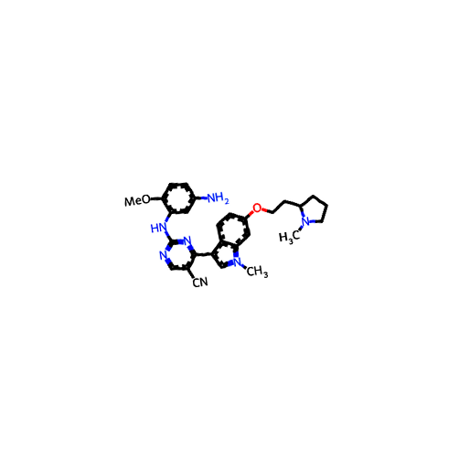 COc1ccc(N)cc1Nc1ncc(C#N)c(-c2cn(C)c3cc(OCCC4CCCN4C)ccc23)n1